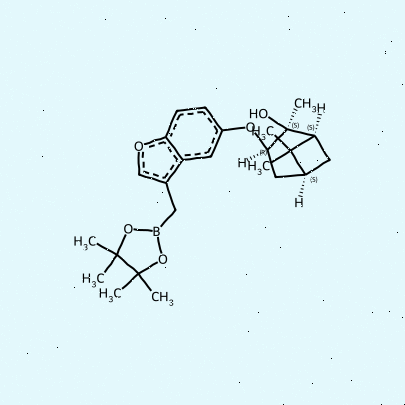 CC1(C)[C@@H]2C[C@@H](Oc3ccc4occ(CB5OC(C)(C)C(C)(C)O5)c4c3)[C@@](C)(O)[C@H]1C2